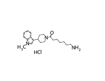 Cl.Cn1cc(C2CCN(C(=O)CCCCCCN)CC2)c2ccccc21